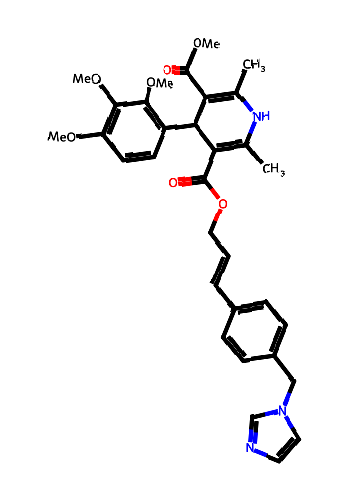 COC(=O)C1=C(C)NC(C)=C(C(=O)OCC=Cc2ccc(Cn3ccnc3)cc2)C1c1ccc(OC)c(OC)c1OC